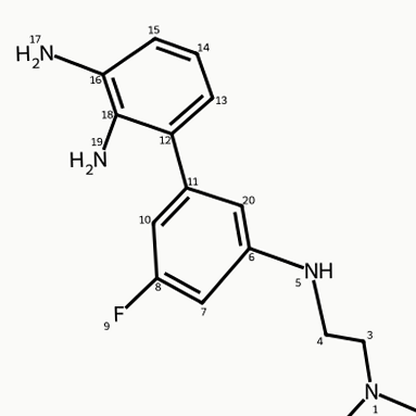 CN(C)CCNc1cc(F)cc(-c2cccc(N)c2N)c1